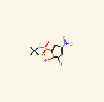 CC(C)(C)NS(=O)(=O)c1cc([N+](=O)[O-])cc(Cl)c1O